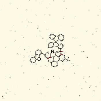 CC(C)(C)c1cc(-c2cccc3cccc(-c4ccccc4N(c4cccc(-c5cccc6c5oc5ccccc56)c4)c4cccc5c4-c4ccccc4C5(c4ccccc4)c4ccccc4)c23)cc(C(C)(C)C)c1